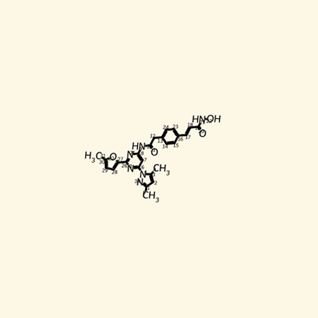 Cc1cc(C)n(-c2cc(NC(=O)Cc3ccc(/C=C/C(=O)NO)cc3)nc(-c3ccc(C)o3)n2)n1